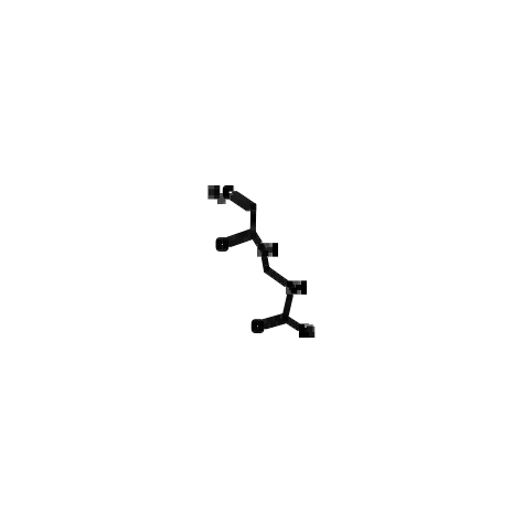 [CH2]CC(=O)NCNC(=O)C=C